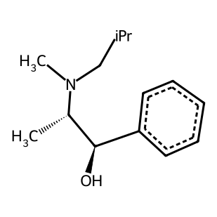 CC(C)CN(C)[C@@H](C)[C@H](O)c1ccccc1